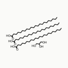 CCCCCCCCCCCCCCCCCCCCCC(=O)O.CCCCCCCCCCCCCCCCCCCCCC(=O)O.CCCCCCCCCCCCCCCCCCCCCC(=O)O.OCC(O)CO